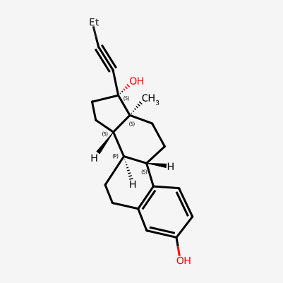 CCC#C[C@]1(O)CC[C@H]2[C@@H]3CCc4cc(O)ccc4[C@H]3CC[C@@]21C